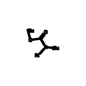 CCN(C(=O)OC(C)(C)C)C(C)(C)C